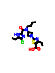 CCCCN(C(=O)c1nc(Cl)c(CC)[nH]1)C1CN(c2nc(CC)c(C(=O)O)s2)C1